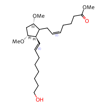 COC(=O)CCC/C=C\CC1[C@@H](OC)C[C@@H](OC)[C@@H]1/C=C/CCCCCCO